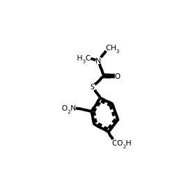 CN(C)C(=O)Sc1ccc(C(=O)O)cc1[N+](=O)[O-]